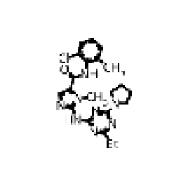 CCc1nc(Nc2ncc(C(=O)Nc3c(C)cccc3Cl)n2C)nc(N2CCCC2)n1